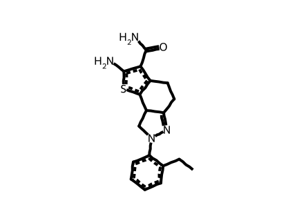 CCc1ccccc1N1CC2C(=N1)CCc1c2sc(N)c1C(N)=O